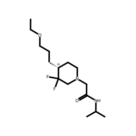 CCOCCC[C@@H]1CCN(CC(=O)NC(C)C)CC1(F)F